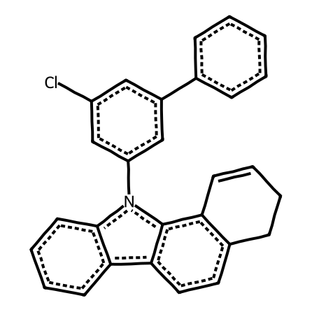 Clc1cc(-c2ccccc2)cc(-n2c3ccccc3c3ccc4c(c32)C=CCC4)c1